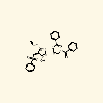 C=CC[C@@H]1O[C@H](C[C@@H](COC(=O)c2ccccc2)OC(=O)c2ccccc2)[C@H](O)C1=CS(=O)(=O)c1ccccc1